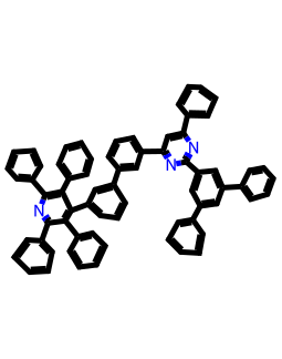 c1ccc(-c2cc(-c3ccccc3)cc(-c3nc(-c4ccccc4)cc(-c4cccc(-c5cccc(-c6c(-c7ccccc7)c(-c7ccccc7)nc(-c7ccccc7)c6-c6ccccc6)c5)c4)n3)c2)cc1